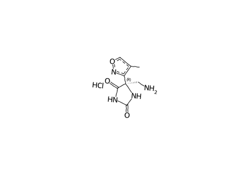 Cc1conc1[C@@]1(CN)NC(=O)NC1=O.Cl